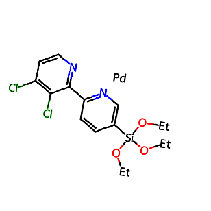 CCO[Si](OCC)(OCC)c1ccc(-c2nccc(Cl)c2Cl)nc1.[Pd]